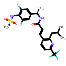 CC(C)Cc1nc(C(F)(F)F)ccc1C=CC(=O)N[C@H](C)c1cc(F)c(NS(C)(=O)=O)c(F)c1